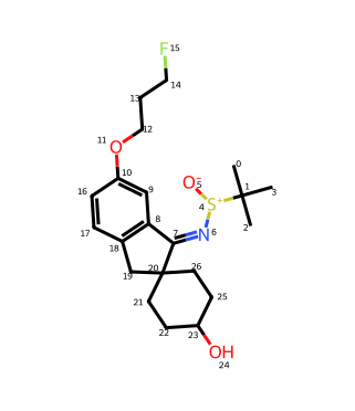 CC(C)(C)[S+]([O-])N=C1c2cc(OCCCF)ccc2CC12CCC(O)CC2